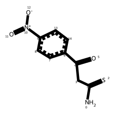 NC(=S)CC(=O)c1ccc([N+](=O)[O-])cc1